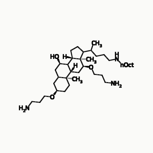 CCCCCCCCNCCCC(C)C1CC[C@H]2C3[C@H](O)CC4C[C@H](OCCCN)CC[C@]4(C)[C@H]3C[C@H](OCCCN)[C@]12C